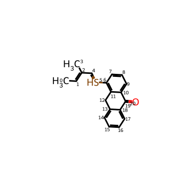 CC=C(C)C=[SH]c1cccc2c1Cc1ccccc1C2=O